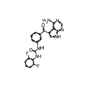 Nc1ncnc2[nH]cc(C(=O)c3cccc(NC(=O)Nc4c(F)cccc4F)c3)c12